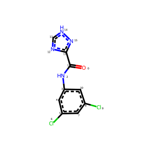 O=C(Nc1cc(Cl)cc(Cl)c1)c1nc[nH]n1